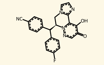 N#Cc1ccc(C(c2ccc(F)cc2)[C@H]2Cn3ccnc3-c3c(O)c(=O)cnn32)cc1